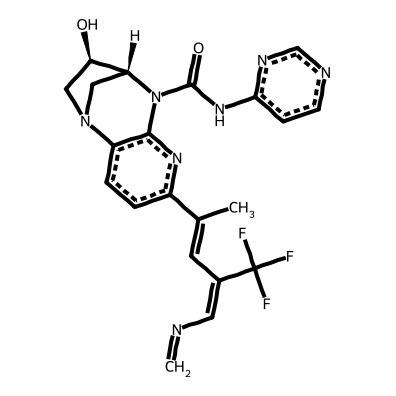 C=N/C=C(\C=C(/C)c1ccc2c(n1)N(C(=O)Nc1ccncn1)[C@@H]1CN2C[C@H]1O)C(F)(F)F